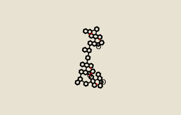 c1cc(-c2cc(-c3cccc4c(-c5c6ccccc6c(-c6ccc(-c7ccc(-c8cccc9c(-c%10c%11ccccc%11c(-c%11ccccc%11-c%11ccc%12ccccc%12c%11)c%11ccccc%10%11)c%10c(cc89)oc8ccccc8%10)c8ccccc78)cc6)c6ccccc56)c5c(cc34)oc3ccccc35)cc3ccccc23)cc(-c2c3ccccc3c(-c3c4ccccc4cc4oc5ccccc5c34)c3ccccc23)c1